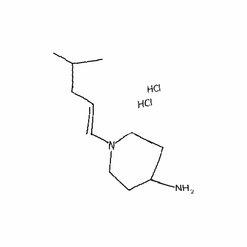 CC(C)CC=CN1CCC(N)CC1.Cl.Cl